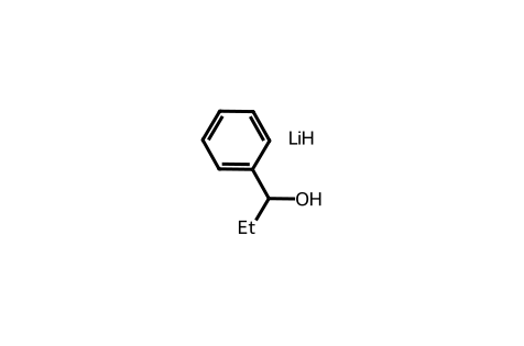 CCC(O)c1ccccc1.[LiH]